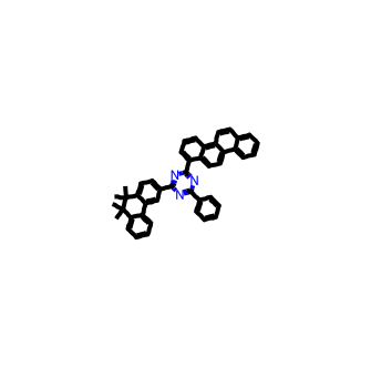 CC1(C)c2ccccc2-c2cc(-c3nc(-c4ccccc4)nc(-c4cccc5c4ccc4c6ccccc6ccc54)n3)ccc2C1(C)C